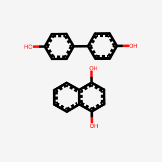 Oc1ccc(-c2ccc(O)cc2)cc1.Oc1ccc(O)c2ccccc12